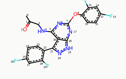 CC(=O)CNc1nc(Oc2ccc(F)cc2F)nc2[nH]nc(-c3ccc(F)cc3F)c12